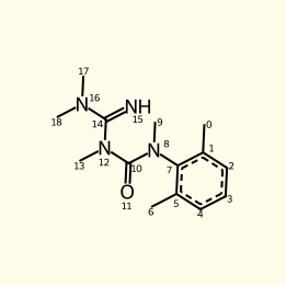 Cc1cccc(C)c1N(C)C(=O)N(C)C(=N)N(C)C